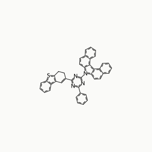 C1=C(c2nc(-c3ccccc3)nc(-n3c4ccc5ccccc5c4c4c5ccccc5ccc43)n2)CCc2sc3ccccc3c21